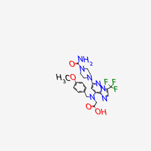 COc1ccc(CN(CC(=O)O)c2cc(N3CCN(C(N)=O)CC3)nn3c(C(F)(F)F)cnc23)cc1